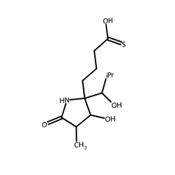 CC(C)C(O)C1(CCCC(O)=S)NC(=O)C(C)C1O